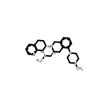 CN1CCN(c2cccc3c2C[C@@H](CN(C)[C@H]2CCCc4cccnc42)NC3)CC1